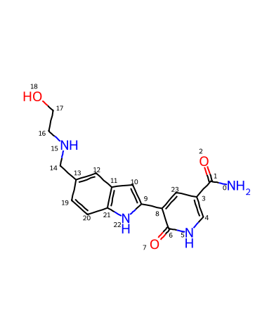 NC(=O)c1c[nH]c(=O)c(-c2cc3cc(CNCCO)ccc3[nH]2)c1